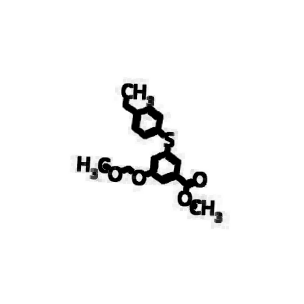 CCc1ccc(Sc2cc(OCOC)cc(C(=O)OC)c2)cc1